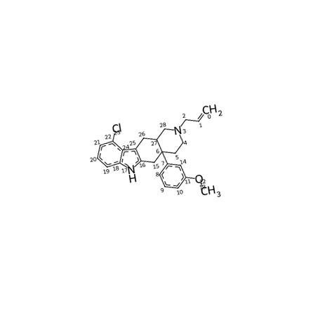 C=CCN1CCC2(c3cccc(OC)c3)Cc3[nH]c4cccc(Cl)c4c3CC2C1